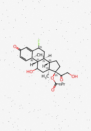 CCCC(=O)O[C@]1(C(=O)CO)CC[C@H]2[C@@H]3C[C@H](F)C4=CC(=O)C=C[C@]4(C)[C@H]3C(O)C[C@@]21C